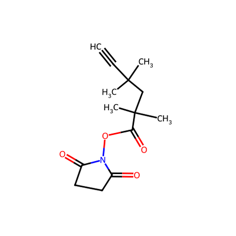 C#CC(C)(C)CC(C)(C)C(=O)ON1C(=O)CCC1=O